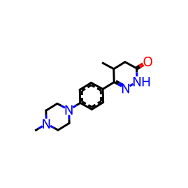 CC1CC(=O)NN=C1c1ccc(N2CCN(C)CC2)cc1